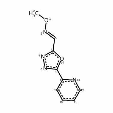 CO/N=C/c1nnc(-c2ccccn2)o1